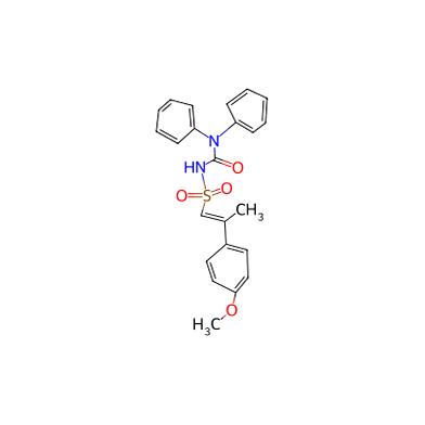 COc1ccc(C(C)=CS(=O)(=O)NC(=O)N(c2ccccc2)c2ccccc2)cc1